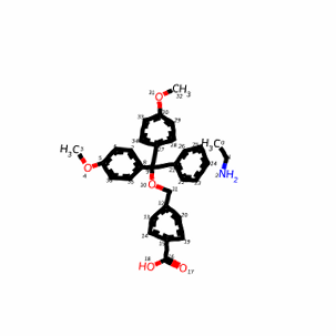 CCN.COc1ccc(C(OCc2ccc(C(=O)O)cc2)(c2ccccc2)c2ccc(OC)cc2)cc1